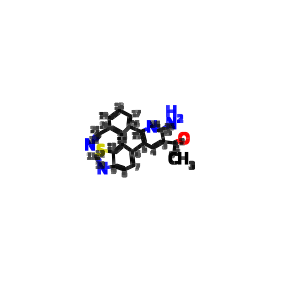 CC(=O)c1cc(-c2ccc3ncsc3c2)c(-c2cccc(C#N)c2)nc1N